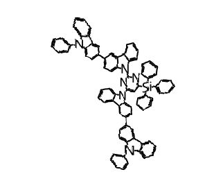 c1ccc(-n2c3ccccc3c3cc(-c4ccc5c(c4)c4ccccc4n5-c4cc([Si](c5ccccc5)(c5ccccc5)c5ccccc5)nc(-n5c6ccccc6c6cc(-c7ccc8c(c7)c7ccccc7n8-c7ccccc7)ccc65)n4)ccc32)cc1